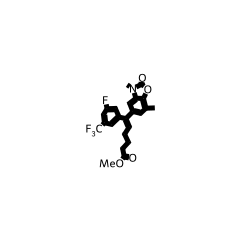 COC(=O)CCC/C=C(\c1cc(F)cc(C(F)(F)F)c1)c1cc(C)c2oc(=O)n(C)c2c1